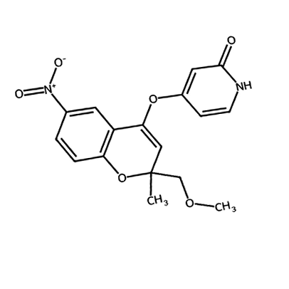 COCC1(C)C=C(Oc2cc[nH]c(=O)c2)c2cc([N+](=O)[O-])ccc2O1